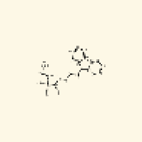 O=C(OCCOC1c2ccccc2-c2ccccc21)C(F)(F)SOO